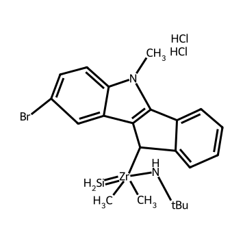 Cl.Cl.Cn1c2c(c3cc(Br)ccc31)[CH]([Zr]([CH3])([CH3])(=[SiH2])[NH]C(C)(C)C)c1ccccc1-2